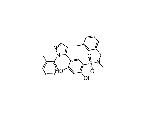 Cc1cccc(CN(C)S(=O)(=O)c2cc(-c3ccnn3-c3ccccc3C)c(O)cc2O)c1